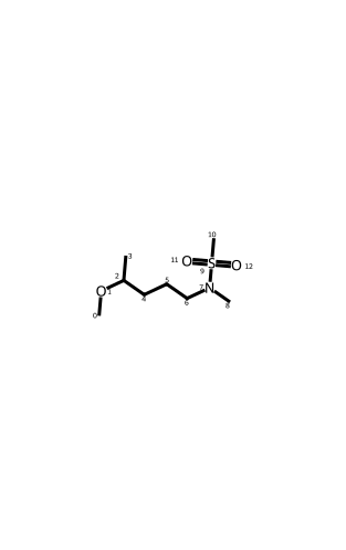 COC(C)CCCN(C)S(C)(=O)=O